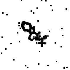 CCc1c([C@@H](C)N[S@+]([O-])C(C)(C)C)oc2ccccc12